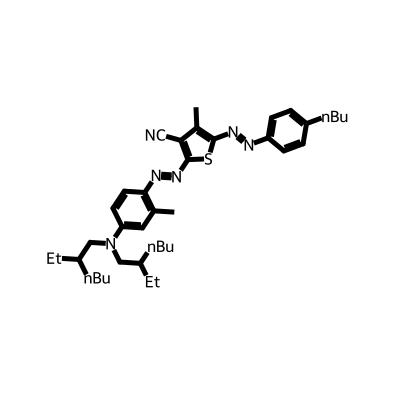 CCCCc1ccc(N=Nc2sc(N=Nc3ccc(N(CC(CC)CCCC)CC(CC)CCCC)cc3C)c(C#N)c2C)cc1